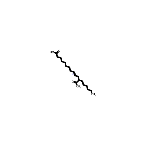 CCCCCCC(C/C=C/CCCCCCCC(=O)O)C(C)=O